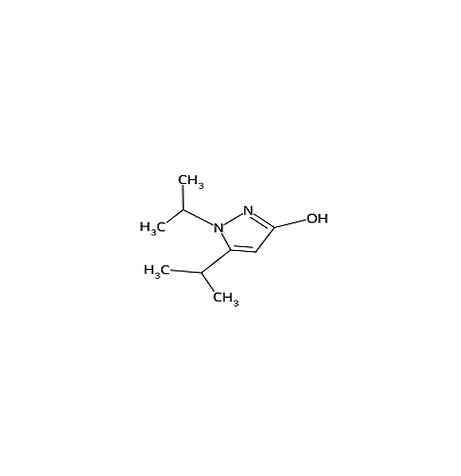 CC(C)c1cc(O)nn1C(C)C